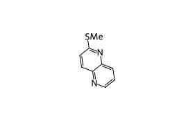 CSc1ccc2ncccc2n1